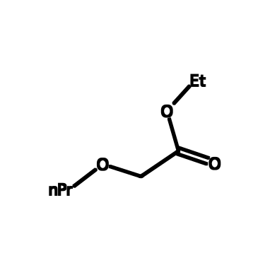 [CH2]CCOCC(=O)OCC